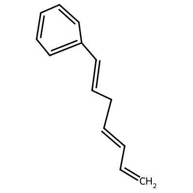 C=CC=CCC=Cc1ccccc1